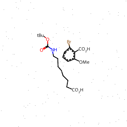 CC(C)(C)OC(=O)NCCCCCCCC(=O)O.COc1cccc(Br)c1C(=O)O